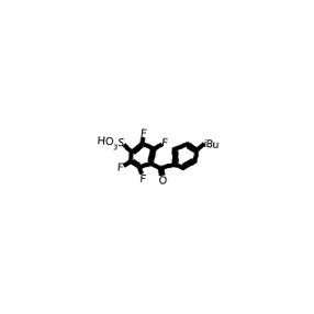 CCC(C)c1ccc(C(=O)c2c(F)c(F)c(S(=O)(=O)O)c(F)c2F)cc1